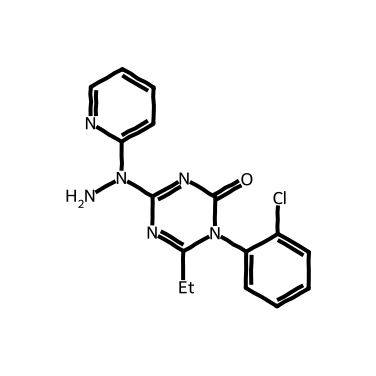 CCc1nc(N(N)c2ccccn2)nc(=O)n1-c1ccccc1Cl